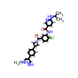 CN/C=C(\C=N)c1ccc(C2CN(C(=O)c3ccc(Cl)c(NC(=O)c4ccc(NC(C)C)nc4)c3)C2)cc1